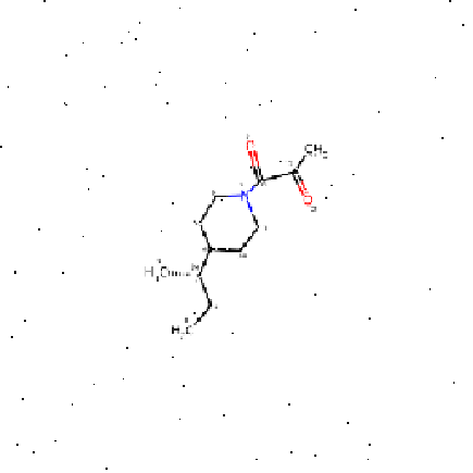 CC[C@H](C)C1CCN(C(=O)C(C)=O)CC1